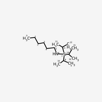 CCCCCCN[Si](C(C)C)(C(C)C)C(C)C